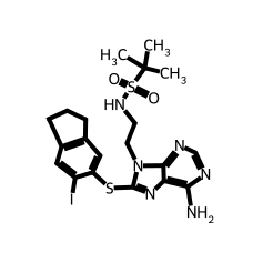 CC(C)(C)S(=O)(=O)NCCn1c(Sc2cc3c(cc2I)CCC3)nc2c(N)ncnc21